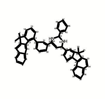 CC1(C)c2cc3ccccc3cc2-c2c(-c3cccc(C4=CC(c5ccc6c(c5)C(C)(C)c5ccc7ccccc7c5-6)NC(c5ccccc5)N4)c3)cccc21